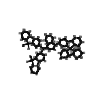 CC1(C)c2ccccc2-c2ccc(N(c3ccc4c(c3)C(C)(C)c3ccccc3-4)c3ccc(-c4ccc5c(c4)C4(c6ccccc6-c6ccccc64)c4ccccc4-5)c4ccccc34)cc21